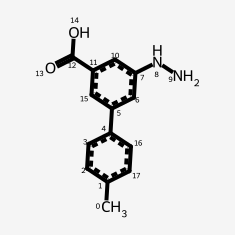 Cc1ccc(-c2cc(NN)cc(C(=O)O)c2)cc1